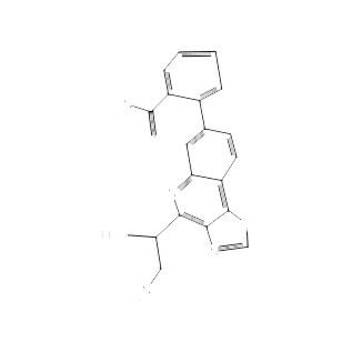 CC(CN)c1nc2cc(-c3ccccc3C(N)=O)ccc2c2scnc12